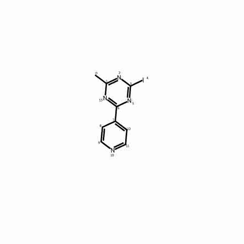 Cc1nc(I)nc(-c2ccncc2)n1